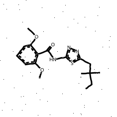 CCC(C)(C)Cc1nnc(NC(=O)c2c(OC)cccc2OC)s1